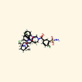 Cc1nc2ccccc2n1C1C[C@H]2CC[C@@H](C1)N2CCC1(c2cc(F)cc(Cl)c2)CCN(C(=O)c2ccc(Cl)c(S(N)(=O)=O)c2)CC1